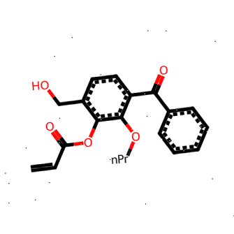 C=CC(=O)Oc1c(CO)ccc(C(=O)c2ccccc2)c1OCCC